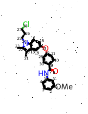 COc1cccc(NC(=O)c2ccc(Oc3ccc4c(c3)c(C)c(C)n4CCCCl)cc2)c1